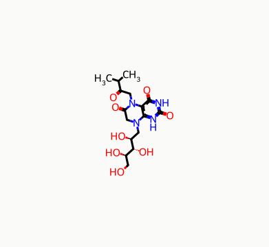 CC(C)C(=O)CN1C(=O)CN(C[C@H](O)[C@H](O)[C@H](O)CO)c2[nH]c(=O)[nH]c(=O)c21